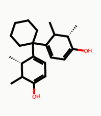 CC1C(C2(C3=CC=C(O)C(C)[C@@H]3C)CCCCC2)=CC=C(O)[C@H]1C